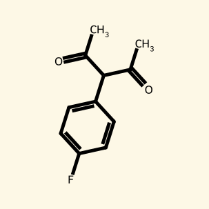 CC(=O)C(C(C)=O)c1ccc(F)cc1